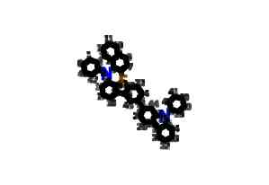 c1ccc(N(c2cccc3ccccc23)c2cccc3c2sc2ccc(-c4ccc5c6ccccc6n(-c6ccccc6)c5c4)cc23)cc1